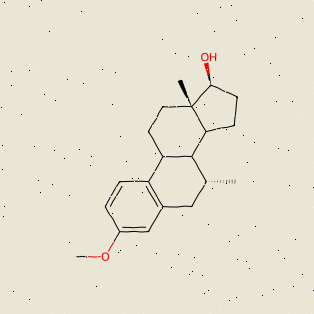 COc1ccc2c(c1)C[C@@H](C)C1C2CC[C@@]2(C)C1CC[C@@H]2O